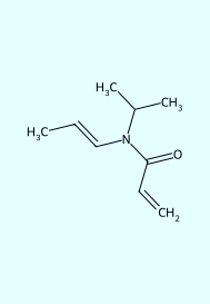 C=CC(=O)N(C=CC)C(C)C